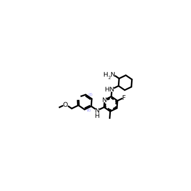 C=C(/C=C(\C=C/C)Nc1nc(NC2CCCCC2N)c(F)cc1C)COC